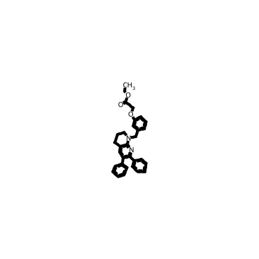 CCOC(=O)COc1cccc(CN2CCCc3cc(-c4ccccc4)c(-c4ccccc4)nc32)c1